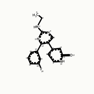 CCNc1ncc(-c2cc[nH]c(=O)c2)c(-c2cccc(F)c2)n1